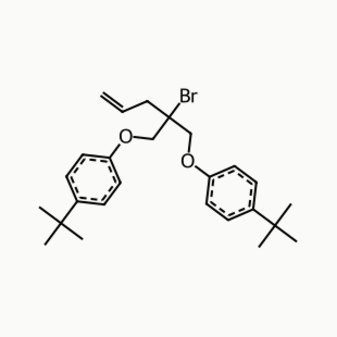 C=CCC(Br)(COc1ccc(C(C)(C)C)cc1)COc1ccc(C(C)(C)C)cc1